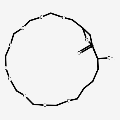 CC12CCCCCCCCCCCCCCCCCCCCCC(CC1)OC2=O